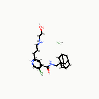 Cl.O=C(NCC12CC3CC(CC(C3)C1)C2)c1cc(CCCNCCO)ncc1Cl